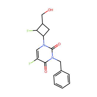 O=c1c(F)cn(C2CC(CO)C2F)c(=O)n1Cc1ccccc1